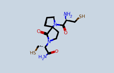 NC(=O)[C@H](CS)N1CCC2(CCCN2C(=O)[C@@H](N)CS)C1=O